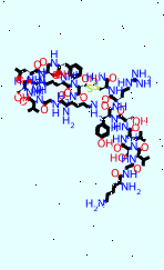 CC(C)C[C@H](NC(=O)[C@H](CO)NC(=O)[C@@H](NC(=O)CNC(=O)[C@@H](N)CCCCN)C(C)C)C(=O)N[C@@H](CO)C(=O)N[C@@H](Cc1ccc(O)cc1)C(=O)N[C@@H](CCCNC(=N)N)C(=O)N[C@@H](CSSC[C@@H](NC(=O)[C@@H](CCCNC(=N)N)NC(=O)[C@@H](Cc1ccc(O)cc1)NC(=O)[C@@H](CO)NC(=O)[C@@H](CC(C)C)NC(=O)[C@@H](CO)NC(=O)[C@H](NC(=O)CNC(=O)[C@H](N)CCCCN)C(C)C)C(N)=O)C(N)=O